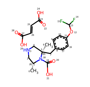 C[C@@H]1CNC[C@@](C)(Cc2ccc(OC(F)F)cc2)N1C(=O)O.O=C(O)C=CC(=O)O